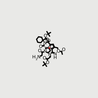 CC(=O)OCc1cc(C(=O)N(C(=O)[C@@H]2CCCN2C(=O)CN)C2(C(=O)OC(C)(C)C)CCCCC2)oc1C(=N)N=CC(=O)OC(C)(C)C